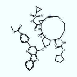 COC(=O)c1ccc(-c2cc(O[C@@H]3C[C@H]4C(=O)N[C@]5(C(=O)NS(=O)(=O)C6CC6)C[C@H]5/C=C\CCCCC[C@H](NC(=O)OC5CCCC5)C(=O)N4C3)c3oc4ccccc4c3n2)cc1